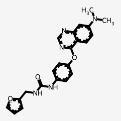 CN(C)c1ccc2c(Oc3ccc(NC(=O)NCc4ccco4)cc3)ncnc2c1